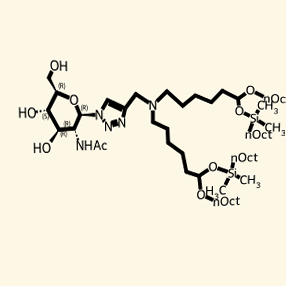 CCCCCCCCOC(CCCCCN(CCCCCC(OCCCCCCCC)O[Si](C)(C)CCCCCCCC)Cc1cn([C@@H]2O[C@H](CO)[C@@H](O)[C@H](O)[C@H]2NC(C)=O)nn1)O[Si](C)(C)CCCCCCCC